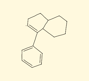 [C]1=C(c2ccccc2)C2CCCCC2CC1